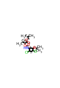 C=C(C)C(OC(=O)Nc1cc(OC(C)C)c(Cl)cc1Cl)C(=O)OCC(C)C